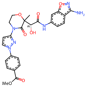 COC(=O)c1ccc(-n2ccc(N3CCOC(C)([C@@H](O)C(=O)Nc4ccc5c(N)noc5c4)C3=O)n2)cc1